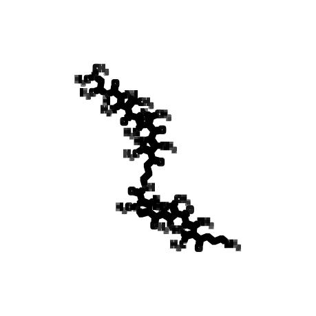 Cc1[nH]c(C(=O)c2c(C)[nH]c(C(=O)c3cn(C)c(C(=O)NCCCC(=O)c4c(C)[nH]c(C(=O)c5c(C)[nH]c(C(=O)c6c(C)[nH]c(C(=O)NC(C)CN(C)C)c6N)c5N)c4N)c3N)c2N)c(N)c1C(=O)CCCN